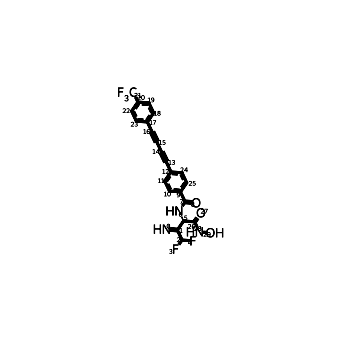 N=C(C(F)F)[C@H](NC(=O)c1ccc(C#CC#Cc2ccc(C(F)(F)F)cc2)cc1)C(=O)NO